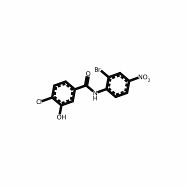 O=C(Nc1ccc([N+](=O)[O-])cc1Br)c1ccc(Cl)c(O)c1